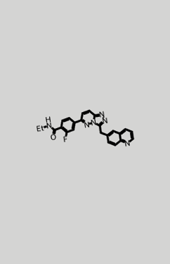 CCNC(=O)c1ccc(-c2ccc3nnc(Cc4ccc5ncccc5c4)n3n2)cc1F